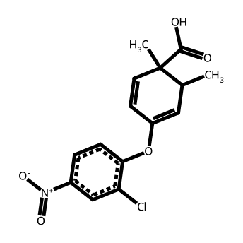 CC1C=C(Oc2ccc([N+](=O)[O-])cc2Cl)C=CC1(C)C(=O)O